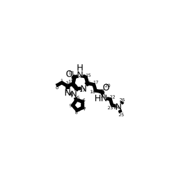 CCc1nn(C2CCCC2)c2c1C(=O)NCC(CCC(=O)NCCN(C)C)=N2